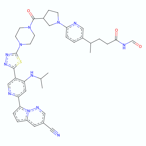 CC(C)Nc1cc(-c2ccc3cc(C#N)cnn23)ncc1-c1nnc(N2CCN(C(=O)C3CCN(c4ccc(C(C)CCC(=O)NC=O)cn4)C3)CC2)s1